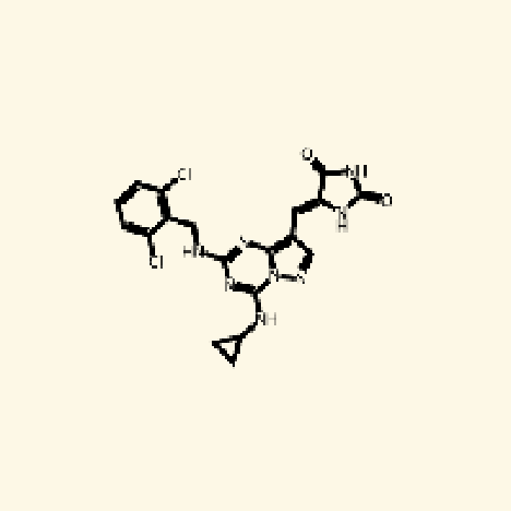 O=C1NC(=O)/C(=C/c2cnn3c(NC4CC4)nc(NCc4c(Cl)cccc4Cl)nc23)N1